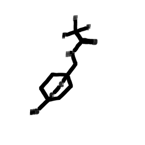 O=C(NCC12CCC(O)(CC1)CC2)C(F)(F)F